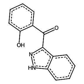 O=C(c1ccccc1O)c1n[nH]c2ccccc12